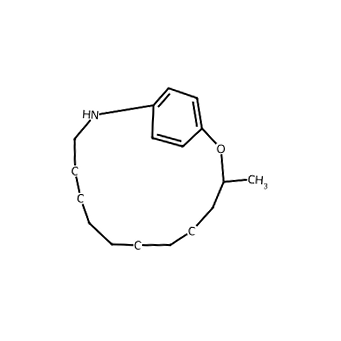 CC1CCCCCCCCCNc2ccc(cc2)O1